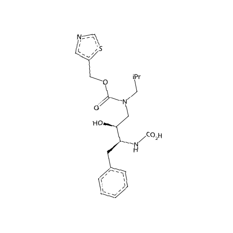 CC(C)CN(C[C@H](O)[C@H](Cc1ccccc1)NC(=O)O)C(=O)OCc1cncs1